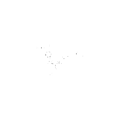 CCCCCN1CCN(C2=N[C@H](C3CC3)CN2S(=O)(=O)c2ccc(C(C)C)cc2)CC1